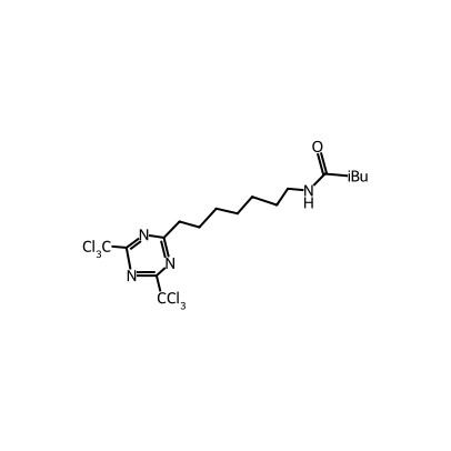 CCC(C)C(=O)NCCCCCCCc1nc(C(Cl)(Cl)Cl)nc(C(Cl)(Cl)Cl)n1